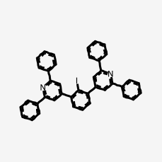 Ic1c(-c2cc(-c3ccccc3)nc(-c3ccccc3)c2)cccc1-c1cc(-c2ccccc2)nc(-c2ccccc2)c1